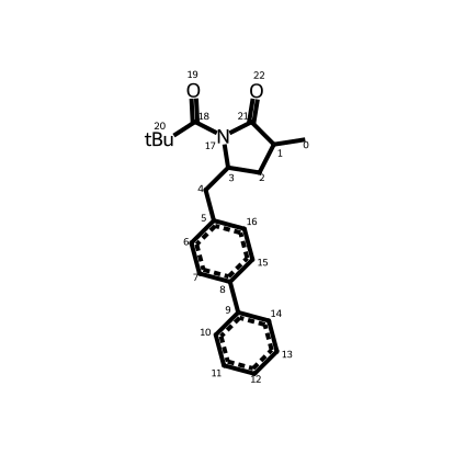 CC1CC(Cc2ccc(-c3ccccc3)cc2)N(C(=O)C(C)(C)C)C1=O